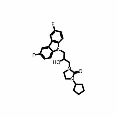 O=C1N(CC(O)Cn2c3ccc(F)cc3c3cc(F)ccc32)CCN1C1CCCC1